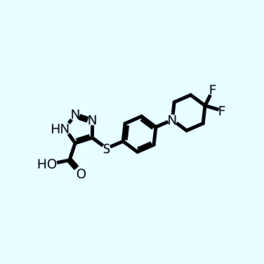 O=C(O)c1[nH]nnc1Sc1ccc(N2CCC(F)(F)CC2)cc1